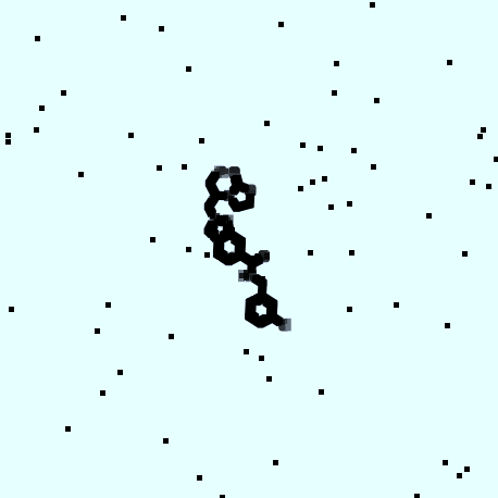 CC(C)CC(Cn1cc2ccc(C(=O)NCc3cccc(Cl)c3)cc2n1)N1CCOC1=O